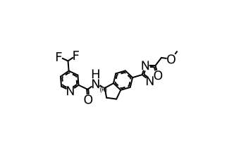 COCc1nc(-c2ccc3c(c2)CC[C@H]3NC(=O)c2cc(C(F)F)ccn2)no1